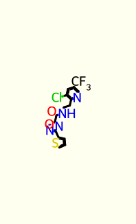 O=C(NCCc1ncc(C(F)(F)F)cc1Cl)c1nc(-c2cccs2)no1